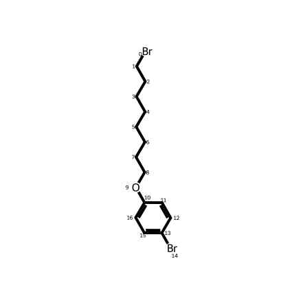 BrCCCCCCCCOc1ccc(Br)cc1